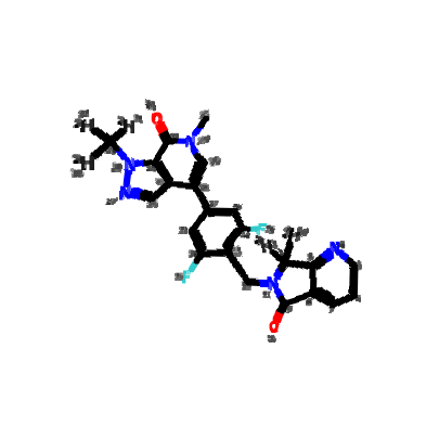 [2H]C1([2H])c2ncccc2C(=O)N1Cc1c(F)cc(-c2cn(C)c(=O)c3c2cnn3C([2H])([2H])[2H])cc1F